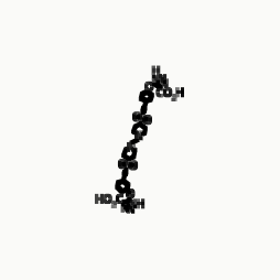 O=C(O)c1nn[nH]c1Oc1ccc(C#CS(=O)(=O)C2CCN(CCN3CCC(S(=O)(=O)C#Cc4cccc(Oc5[nH]nnc5C(=O)O)c4)CC3)CC2)cc1